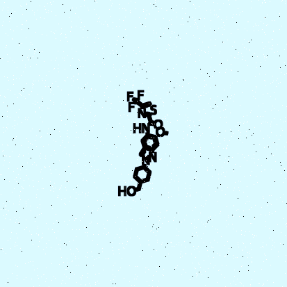 COc1cc2nn(C3CCC(CO)CC3)cc2cc1NC(=O)c1nc(C(F)(F)F)cs1